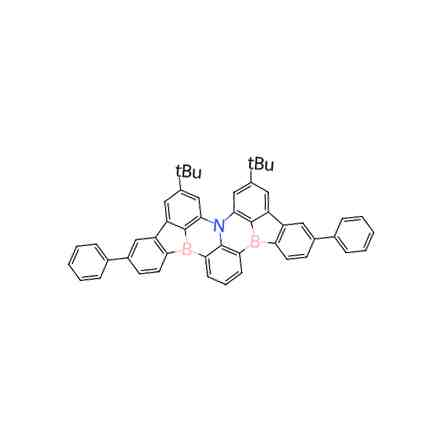 CC(C)(C)c1cc2c3c(c1)N1c4cc(C(C)(C)C)cc5c4B(c4ccc(-c6ccccc6)cc4-5)c4cccc(c41)B3c1ccc(-c3ccccc3)cc1-2